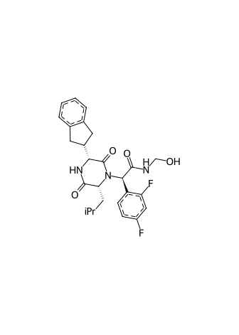 CC(C)C[C@@H]1C(=O)N[C@H](C2Cc3ccccc3C2)C(=O)N1[C@@H](C(=O)NCO)c1ccc(F)cc1F